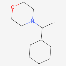 [CH2]C(C1CCCCC1)N1CCOCC1